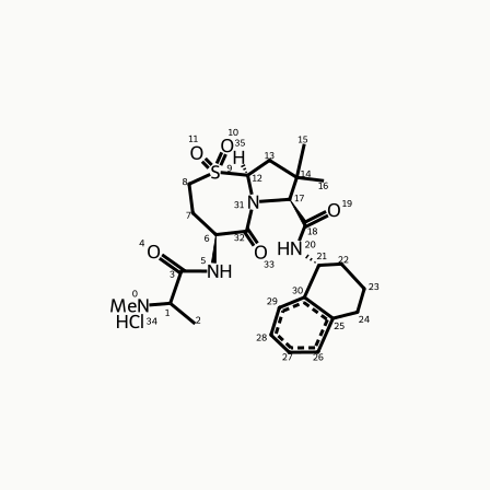 CNC(C)C(=O)N[C@H]1CCS(=O)(=O)[C@H]2CC(C)(C)[C@@H](C(=O)N[C@@H]3CCCc4ccccc43)N2C1=O.Cl